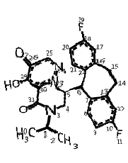 CC(C)N1C[C@H](C2c3ccc(F)cc3CCc3cc(F)ccc32)n2ncc(=O)c(O)c2C1=O